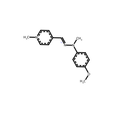 COc1ccc(N(C)/N=C/c2cc[n+](C)cc2)cc1